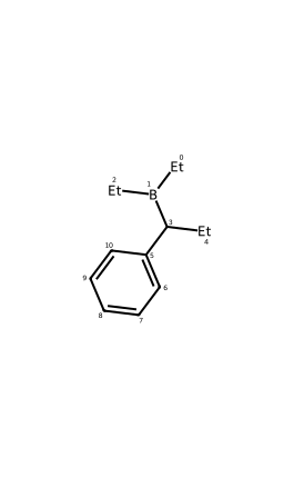 CCB(CC)C(CC)c1ccccc1